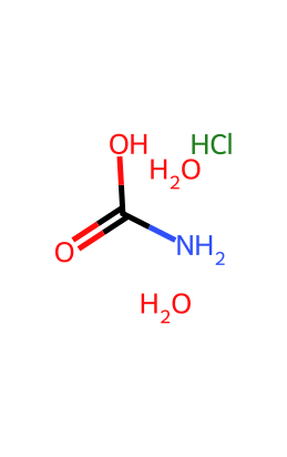 Cl.NC(=O)O.O.O